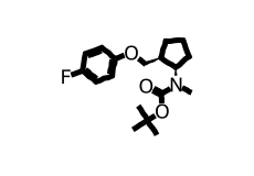 CN(C(=O)OC(C)(C)C)[C@H]1CCC[C@@H]1COc1ccc(F)cc1